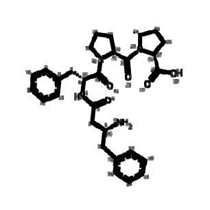 N[C@H](CC(=O)N[C@H](Cc1ccccc1)C(=O)N1CCC[C@H]1C(=O)N1CCC[C@H]1C(=O)O)Cc1ccccc1